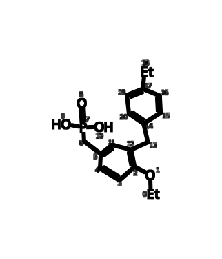 CCOc1ccc(CP(=O)(O)O)cc1Cc1ccc(CC)cc1